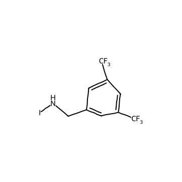 FC(F)(F)c1cc(CNI)cc(C(F)(F)F)c1